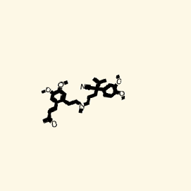 COc1ccc(C(C#N)(CCCN(C)CCc2cc(OC)c(OC)cc2/C=C/C(C)=O)C(C)C)cc1OC